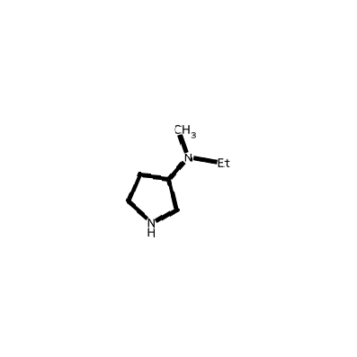 CCN(C)C1CCNC1